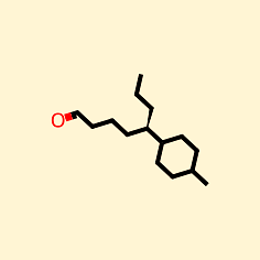 CCC[C@H](CCCC=O)C1CCC(C)CC1